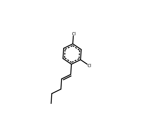 CCCC=Cc1ccc(Cl)cc1Cl